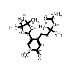 Cn1cc(C2OC(C)(C)C(C)(C)O2)c(CCC(C)(C)OC(N)=O)cc1=O